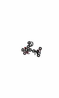 c1ccc(-c2cc(-c3ccc(-c4ccc5c(c4)-c4c(ccc6c4CCOc4ccccc4-6)C54c5ccccc5C5(c6ccccc6-c6ccccc65)c5ccccc54)cc3)nc(-c3ccccc3)n2)cc1